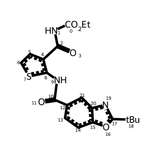 CCOC(=O)NC(=O)c1ccsc1NC(=O)c1ccc2oc(C(C)(C)C)nc2c1